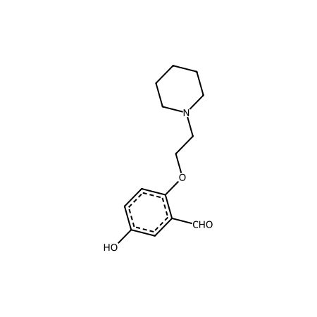 O=Cc1cc(O)ccc1OCCN1CCCCC1